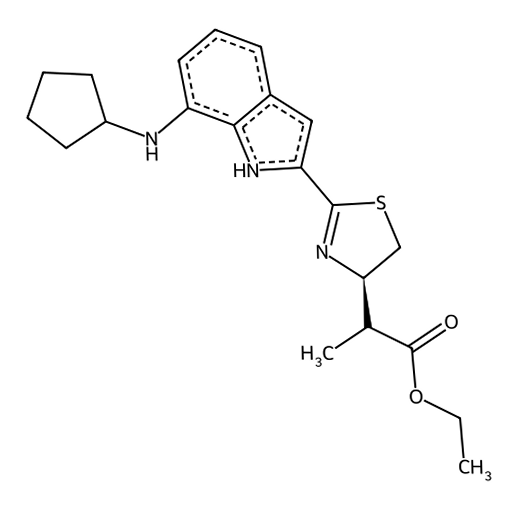 CCOC(=O)C(C)[C@@H]1CSC(c2cc3cccc(NC4CCCC4)c3[nH]2)=N1